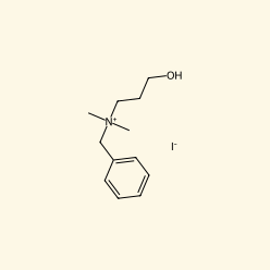 C[N+](C)(CCCO)Cc1ccccc1.[I-]